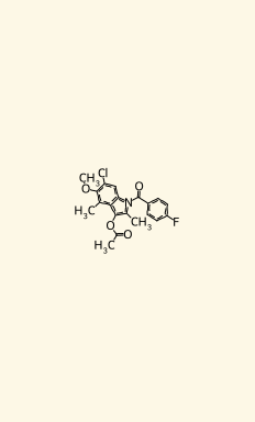 COc1c(Cl)cc2c(c1C)c(OC(C)=O)c(C)n2C(=O)c1ccc(F)cc1